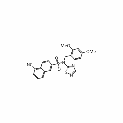 COc1ccc(CN(c2ncns2)S(=O)(=O)c2ccc3c(C#N)cccc3c2)c(OC)c1